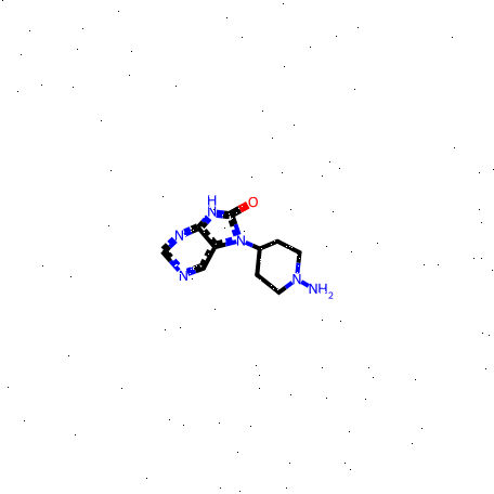 NN1CCC(n2c(=O)[nH]c3ncncc32)CC1